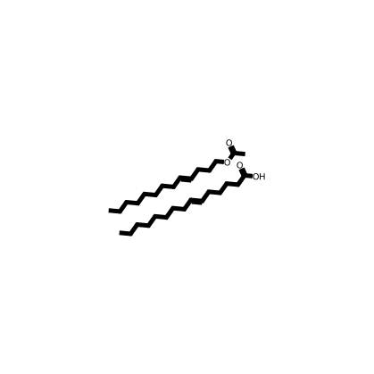 CCCCCCCC/C=C/CCCCC(=O)O.CCCCCCCC/C=C/CCCOC(C)=O